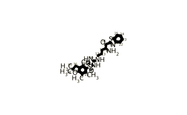 Cc1c(C)c(S(=O)(=O)NC(=N)NCCC[C@H](N)C(=O)c2nc3ccccc3s2)c(C)c2c1OC(C)(C)C2